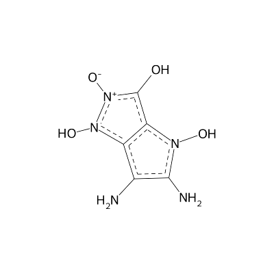 Nc1c(N)n(O)c2c(O)[n+]([O-])n(O)c12